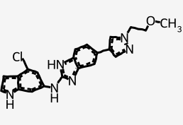 COCCn1cc(-c2ccc3[nH]c(Nc4cc(Cl)c5cc[nH]c5c4)nc3c2)cn1